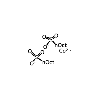 CCCCCCCCS(=O)(=O)[O-].CCCCCCCCS(=O)(=O)[O-].[Co+2]